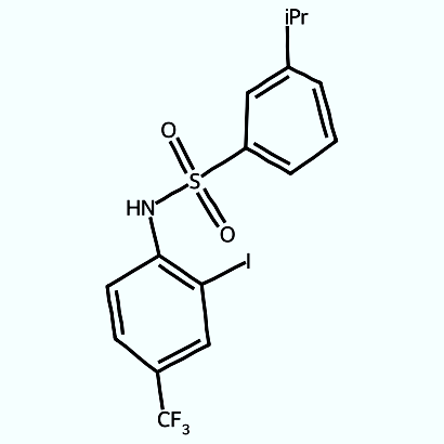 CC(C)c1cccc(S(=O)(=O)Nc2ccc(C(F)(F)F)cc2I)c1